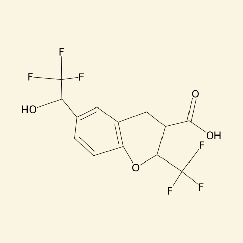 O=C(O)C1Cc2cc(C(O)C(F)(F)F)ccc2OC1C(F)(F)F